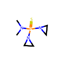 CN(C)P(=S)(N1CC1)N1CC1